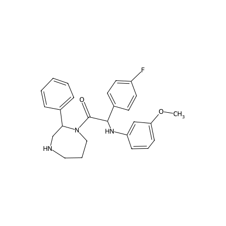 COc1cccc(NC(C(=O)N2CCCNCC2c2ccccc2)c2ccc(F)cc2)c1